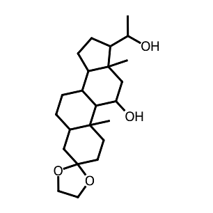 CC(O)C1CCC2C3CCC4CC5(CCC4(C)C3C(O)CC12C)OCCO5